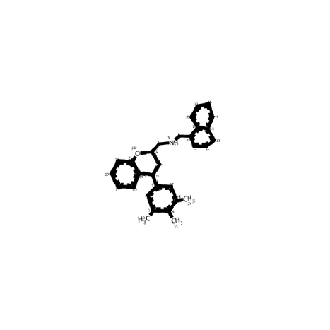 Cc1cc(C2CC(CNCc3cccc4ccccc34)Oc3ccccc32)cc(C)c1C